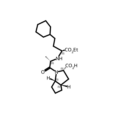 CCOC(=O)[C@H](CCC1CCCCC1)N[C@@H](C)C(=O)N1[C@H](C(=O)O)C[C@@H]2CCC[C@@H]21